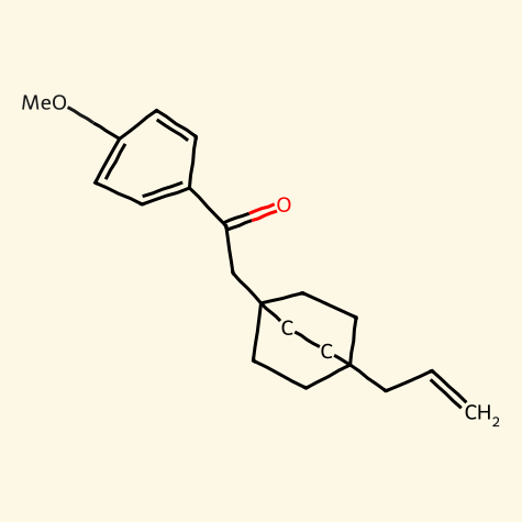 C=CCC12CCC(CC(=O)c3ccc(OC)cc3)(CC1)CC2